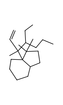 C=CC(C)(C(CC)CCC)C12CCCCC1CCC2(C)C